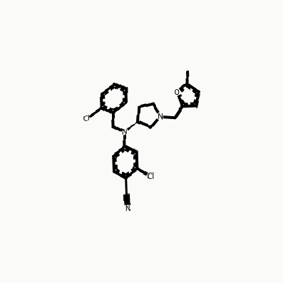 Cc1ccc(CN2CC[C@H](N(Cc3ccccc3Cl)c3ccc(C#N)c(Cl)c3)C2)o1